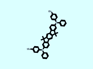 CC(C)(C)c1ccc(N(c2ccccc2)c2ccc3c(c2)C(C)(C)c2cc4c(cc2-3)C(C)(C)c2cc(N(c3ccccc3)c3ccc(C(C)(C)C)cc3)ccc2-4)cc1